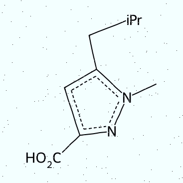 CC(C)Cc1cc(C(=O)O)nn1C